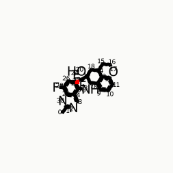 Cc1ncc2c(NC3c4cccc5c4C(CCO5)CC3(O)C(F)(F)F)ccc(F)c2n1